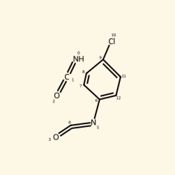 N=C=O.O=C=Nc1ccc(Cl)cc1